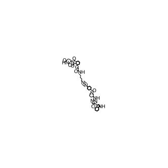 O=C(COc1cccc2c1C(=O)N(C1CCC(=O)NC1=O)C2=O)NCCCCCN1CCN(c2ccc(C(=O)N3CCC[C@@H](Nc4ncc(Cl)c(-c5c[nH]c6ccccc56)n4)C3)cc2)CC1